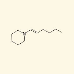 CCCCC=CN1CCCCC1